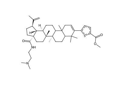 C=C(C)[C@@H]1CC[C@]2(C(=O)NCCN(C)C)CC[C@]3(C)[C@H](CCC4C5(C)CC=C(c6ccc(C(=O)OC)s6)C(C)(C)C5CC[C@]43C)[C@@H]12